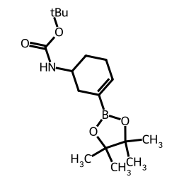 CC(C)(C)OC(=O)NC1CCC=C(B2OC(C)(C)C(C)(C)O2)C1